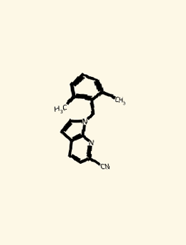 Cc1cccc(C)c1Cn1ccc2ccc(C#N)nc21